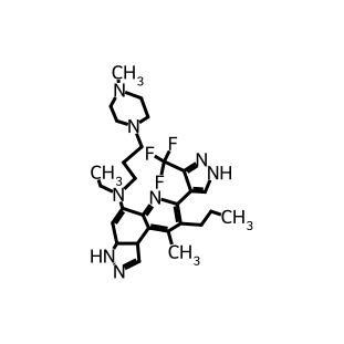 CCCc1c(-c2c[nH]nc2C(F)(F)F)nc2c(c1C)C1C=NNC1C=C2N(CC)CCCN1CCN(C)CC1